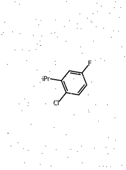 C[C](C)c1cc(F)ccc1Cl